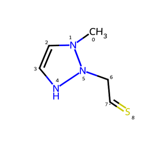 CN1C=CNN1C[C]=S